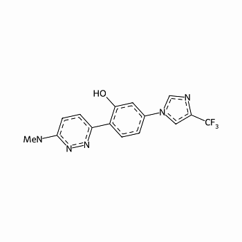 CNc1ccc(-c2ccc(-n3cnc(C(F)(F)F)c3)cc2O)nn1